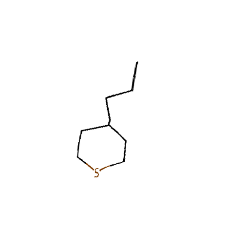 CCCC1CCSCC1